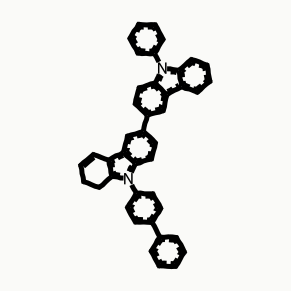 C1=Cc2c(n(-c3ccc(-c4ccccc4)cc3)c3ccc(-c4ccc5c(c4)c4ccccc4n5-c4ccccc4)cc23)CC1